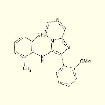 COc1ccccc1-c1nc2cnccn2c1Nc1c(C)cccc1C